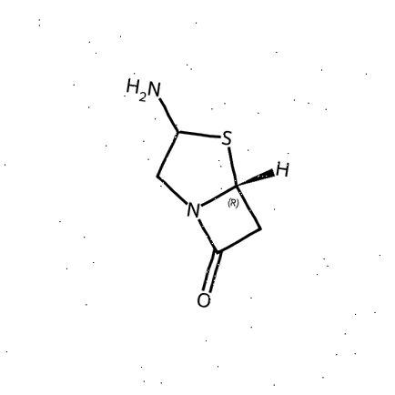 NC1CN2C(=O)C[C@H]2S1